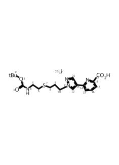 CC(C)(C)OC(=O)NCCSCCCn1cc(-c2cccc(C(=O)O)n2)cn1.[Li]